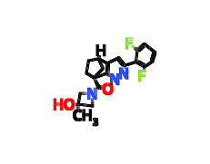 CC1(O)CN(C(=O)[C@@]23CC[C@@H](C2)c2cc(-c4c(F)cccc4F)nnc23)C1